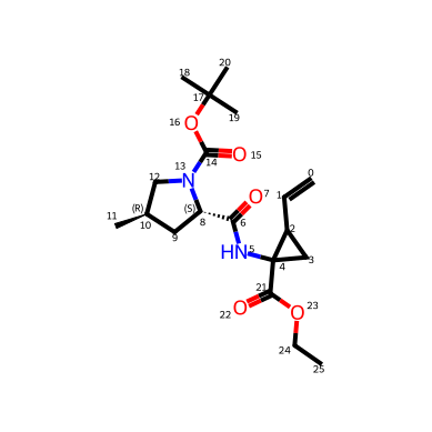 C=CC1CC1(NC(=O)[C@@H]1C[C@@H](C)CN1C(=O)OC(C)(C)C)C(=O)OCC